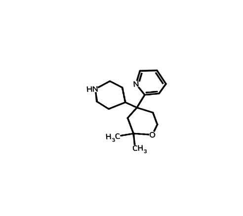 CC1(C)CC(c2ccccn2)(C2CCNCC2)CCO1